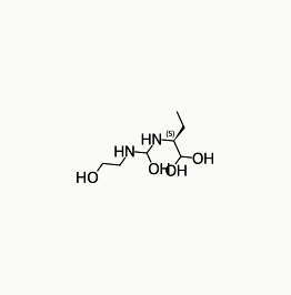 CC[C@H](NC(O)NCCO)C(O)O